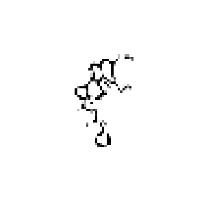 C[C@@H](SC(=O)Oc1ccccc1)C1=CCC2C3=CC=C4C[C@@H](O)C[C@H](O)[C@]4(C)C3CC[C@]12C